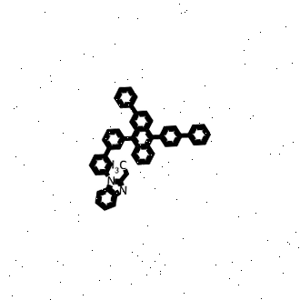 CCc1nc2ccccc2n1-c1cccc(-c2cccc(-c3c4ccccc4c(-c4ccc(-c5ccccc5)cc4)c4ccc(-c5ccccc5)cc34)c2)c1